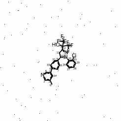 Cc1cncc(-c2ccc(C3CC(C(O)(C(F)(F)F)C(F)(F)F)=NN3c3ccccc3Cl)cc2)c1